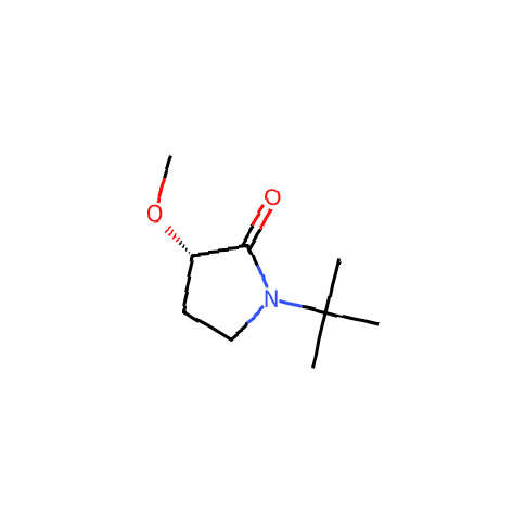 CO[C@H]1CCN(C(C)(C)C)C1=O